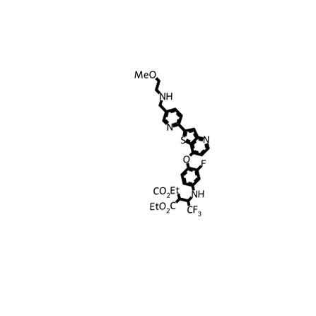 CCOC(=O)C(C(=O)OCC)C(Nc1ccc(Oc2ccnc3cc(-c4ccc(CNCCOC)cn4)sc23)c(F)c1)C(F)(F)F